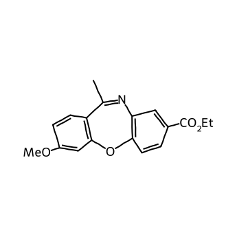 CCOC(=O)c1ccc2c(c1)N=C(C)c1ccc(OC)cc1O2